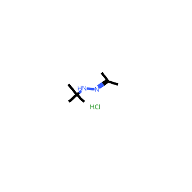 CC(C)=NNC(C)(C)C.Cl